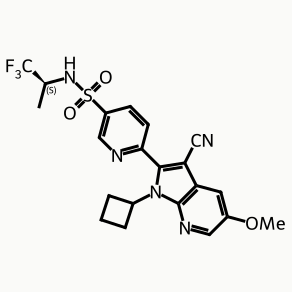 COc1cnc2c(c1)c(C#N)c(-c1ccc(S(=O)(=O)N[C@@H](C)C(F)(F)F)cn1)n2C1CCC1